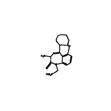 [2H]c1cccc2c1C(C1CCCCC1)=NC(N)C(=O)N2CC(=O)O